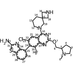 CN1CCCC1COc1nc(N2CCCC3(CNC3)C2)c2cc(Cl)c(-c3cccc4sc(N)nc34)c(F)c2n1